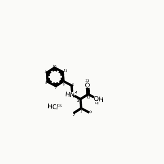 CC(C)C(NCc1ccccc1)C(=O)O.Cl